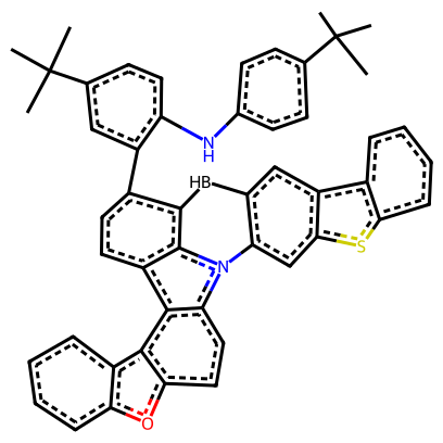 CC(C)(C)c1ccc(Nc2ccc(C(C)(C)C)cc2-c2ccc3c4c5c(ccc4n4c3c2Bc2cc3c(cc2-4)sc2ccccc23)oc2ccccc25)cc1